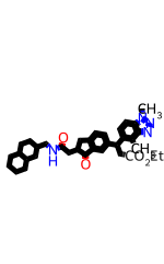 CCOC(=O)CC(c1ccc2c(c1)C(=O)C(CC(=O)NCC1CCC3CCCCC3C1)C2)c1ccc2c(nnn2C)c1C